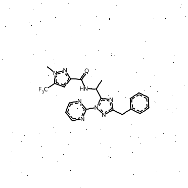 CC(NC(=O)c1cc(C(F)(F)F)n(C)n1)c1nc(Cc2ccccc2)nn1-c1ncccn1